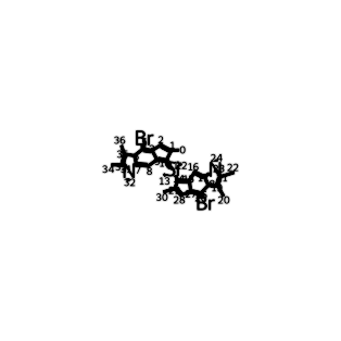 CC1=CC2=C(Br)C3C(=CC2=C1[Si](C)(C)C1=C2C=C4C(C(C)=C(C)N4C)C(Br)=C2C=C1C)N(C)C(C)=C3C